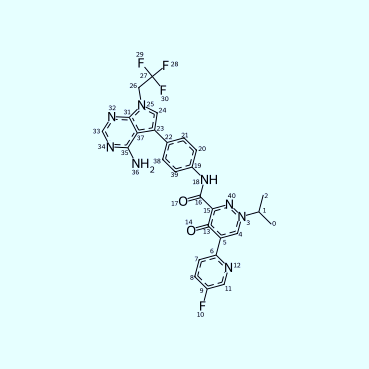 CC(C)n1cc(-c2ccc(F)cn2)c(=O)c(C(=O)Nc2ccc(-c3cn(CC(F)(F)F)c4ncnc(N)c34)cc2)n1